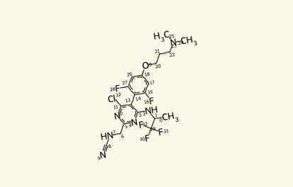 CC(Nc1nc(CNC#N)nc(Cl)c1-c1c(F)cc(OCCCN(C)C)cc1F)C(F)(F)F